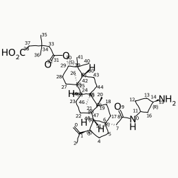 C=C(C)[C@@H]1CC[C@]2(CC(=O)NC3CC[C@@H](N)C3)CC[C@]3(C)[C@H](CC[C@@H]4[C@@]5(C)CC[C@H](OC(=O)CC(C)(C)CC(=O)O)C(C)(C)[C@@H]5CC[C@]43C)[C@@H]12